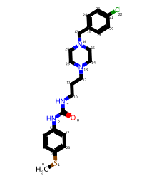 CSc1ccc(NC(=O)NCCCN2CCN(Cc3ccc(Cl)cc3)CC2)cc1